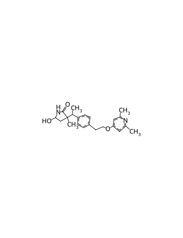 Cc1cc(OCCc2ccc(C(C)C3(C)CC(O)NC3=O)cc2)cc(C)n1